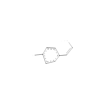 CCCCCC/C=[C]\c1ccc(C(C)C)cc1